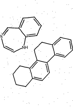 C1=CNc2ccccc2C=N1.c1ccc2c(c1)CCc1c-2ccc2c1CCCC2